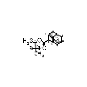 CC(OC(=O)C1C2CC3CC(C2)CC1C3)C(C)(F)F